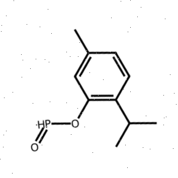 Cc1ccc(C(C)C)c(O[PH]=O)c1